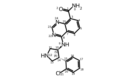 NC(=O)c1cccc2c(N[C@@H]3CNC[C@H]3c3ccccc3Cl)ncnc12